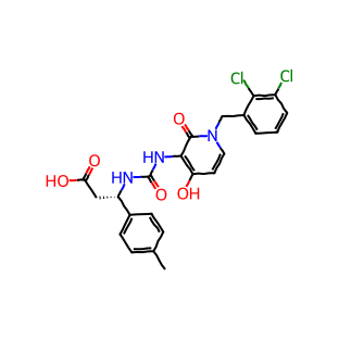 Cc1ccc([C@H](CC(=O)O)NC(=O)Nc2c(O)ccn(Cc3cccc(Cl)c3Cl)c2=O)cc1